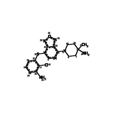 CC1(N)CCN(c2ncc(Sc3ccnc(N)c3Cl)c3nonc23)CC1